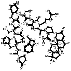 CC(=O)O[C@]1(C(C)=O)CC[C@H]2[C@@H]3C[C@H](C)C4=CC(=O)CC[C@]4(C)[C@H]3CC[C@@]21C.CCNC(=O)[C@@H]1CCCN1C(=O)[C@H](CCCNC(=N)N)NC(=O)[C@H](CC(C)C)NC(=O)[C@@H](CC(C)C)NC(=O)[C@H](Cc1ccc(O)cc1)NC(=O)[C@H](CO)NC(=O)[C@H](Cc1c[nH]c2ccccc12)NC(=O)[C@H](Cc1cnc[nH]1)NC(=O)[C@@H]1CCC(=O)N1